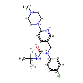 CN1CCN(c2ccc(CN(C(=O)NC(C)(C)C)c3ccc(F)cc3)cn2)CC1